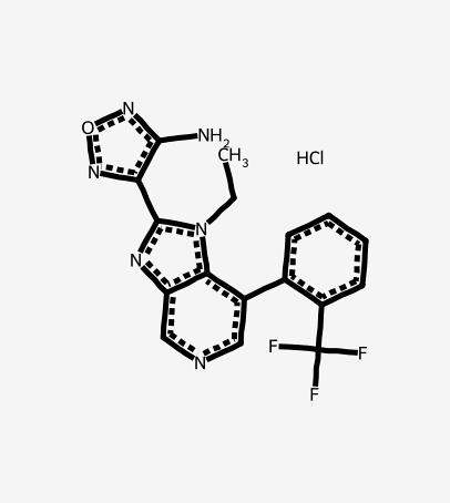 CCn1c(-c2nonc2N)nc2cncc(-c3ccccc3C(F)(F)F)c21.Cl